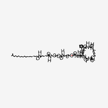 C=C(C)CCCCCCCCCCCCCCCCC(=O)NCCCCCC(=O)NCCOCCOCC(=O)NCCOCCOCC(=O)NCCCC[C@@H]1NC(=O)[C@H](CCC)NC(=O)CCSCCCNC(=O)CNC(O)C[C@H](Cc2ccccc2)NC1=O